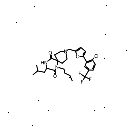 CCCCN1C(=O)C(CC(C)C)NC(=O)C12CCN(Cc1ccc(-c3cc(C(F)(F)F)ccc3Cl)o1)CC2